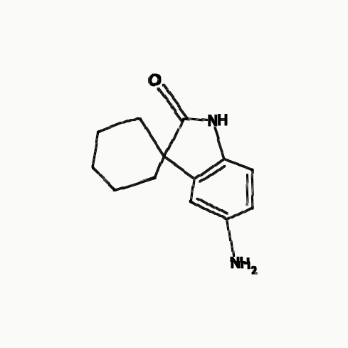 Nc1ccc2c(c1)C1(CCCCC1)C(=O)N2